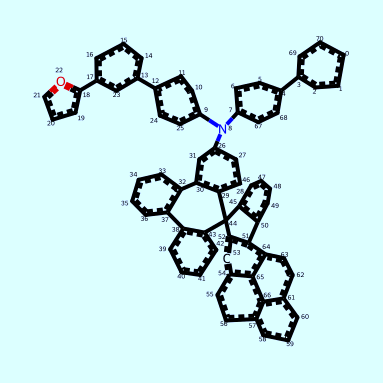 c1ccc(-c2ccc(N(c3ccc(-c4cccc(-c5ccco5)c4)cc3)c3ccc4c(c3)-c3ccccc3-c3ccccc3C43c4ccccc4-c4c3cc3ccc5cccc6ccc4c3c56)cc2)cc1